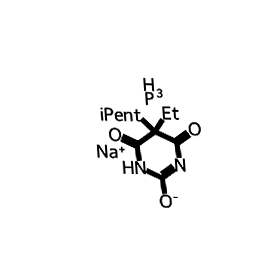 CCCC(C)C1(CC)C(=O)N=C([O-])NC1=O.P.[Na+]